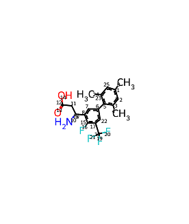 Cc1cc(C)c(-c2cc([C@@H](N)CC(=O)O)c(F)c(C(F)(F)F)c2)c(C)c1